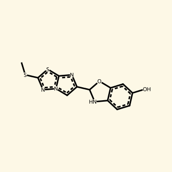 CSc1nn2cc(C3Nc4ccc(O)cc4O3)nc2s1